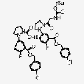 CC(C)(C)OC(=O)N1CCCN1c1ccc(F)c(C(=O)OCc2ccc(Cl)cc2)c1.CC(C)(C)OC(=O)NCC(=O)N1CCCN1c1ccc(F)c(C(=O)OCc2ccc(Cl)cc2)c1